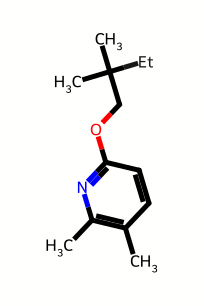 CCC(C)(C)COc1ccc(C)c(C)n1